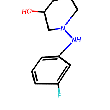 OC1CCCN(Nc2cccc(F)c2)C1